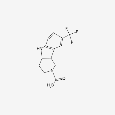 BC(=O)N1CCc2[nH]c3ccc(C(F)(F)F)cc3c2C1